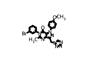 COc1ccc(-n2nc(Cn3cnnn3)c3nc(C)n(-c4cccc(Br)c4)c(=O)c32)cc1